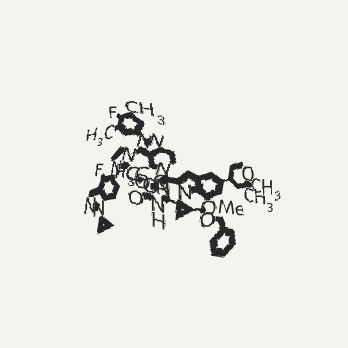 COc1cc([C@H]2CCOC(C)(C)C2)cc2cc(C(=O)N3CCc4nn(-c5cc(C)c(F)c(C)c5)c(N5C=CN(c6ccc7c(cnn7C7CC7)c6F)C5=C=O)c4[C@@H]3C)n([C@@]3(c4noc(=O)[nH]4)C[C@@H]3COCc3ccccc3)c12